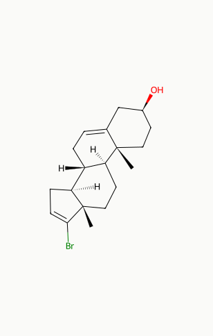 C[C@]12CC[C@H](O)CC1=CC[C@@H]1[C@@H]2CC[C@]2(C)C(Br)=CC[C@@H]12